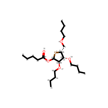 CCCCOC[C@H]1SC(OC(=O)CCCC)[C@H](OCCCC)[C@H]1OCCCC